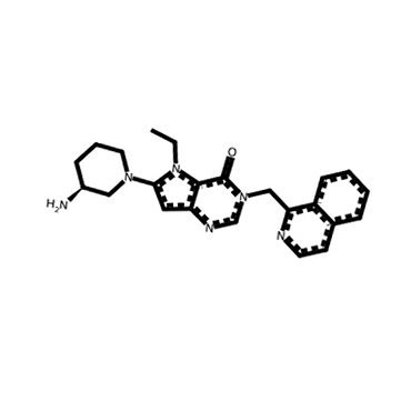 CCn1c(N2CCC[C@H](N)C2)cc2ncn(Cc3nccc4ccccc34)c(=O)c21